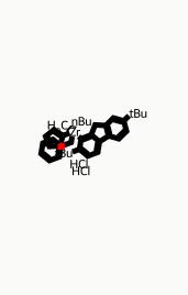 Cl.Cl.[CH2]=[Zr]([CH2]CCC)([CH2]c1ccccc1)([C]1=CC=CC1)[c]1c(C(C)(C)C)ccc2c1Cc1cc(C(C)(C)C)ccc1-2